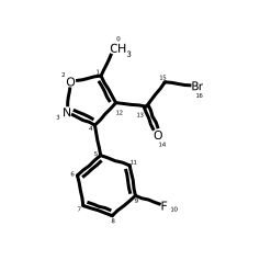 Cc1onc(-c2cccc(F)c2)c1C(=O)CBr